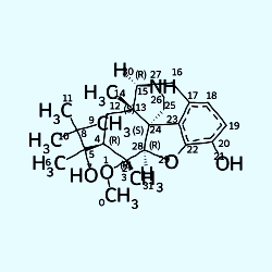 CO[C@]1(C)[C@@H](C(C)(O)C(C)(C)C)C[C@]2(C)[C@H]3Cc4ccc(O)c5c4[C@@]2(CCN3)[C@H]1O5